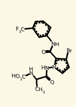 CC(NC(=O)O)C(=O)Nn1ccc(Br)c1C(=O)Nc1cccc(C(F)(F)F)c1